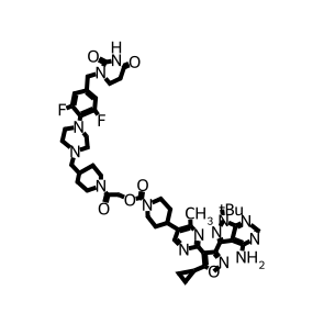 Cc1nc(-c2c(-c3nn(C(C)(C)C)c4ncnc(N)c34)noc2C2CC2)ncc1C1CCN(C(=O)OCC(=O)N2CCC(CN3CCN(c4c(F)cc(CN5CCC(=O)NC5=O)cc4F)CC3)CC2)CC1